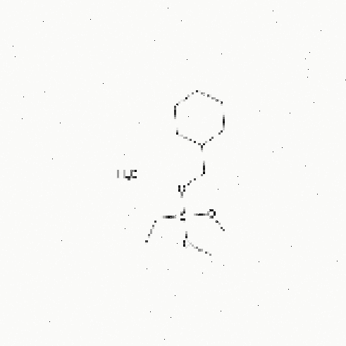 CC[Si](OC)(OC)OCC1CCCCC1.O